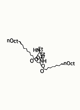 CCCCCCCCC=CCCCCCCCC(=O)OCC(COC(=O)CCCCCCCC=CCCCCCCCC)NC(=O)OCC(CC)NCC